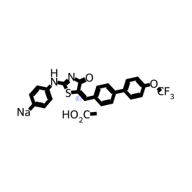 CC(=O)O.O=C1N=C(Nc2cc[c]([Na])cc2)S/C1=C/c1ccc(-c2ccc(OC(F)(F)F)cc2)cc1